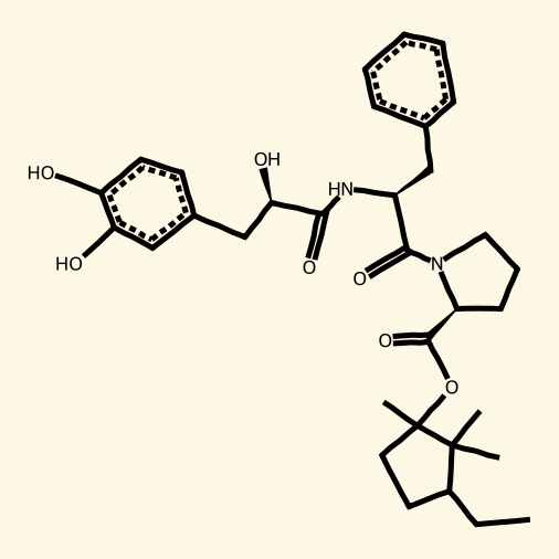 CCC1CCC(C)(OC(=O)[C@@H]2CCCN2C(=O)[C@H](Cc2ccccc2)NC(=O)[C@H](O)Cc2ccc(O)c(O)c2)C1(C)C